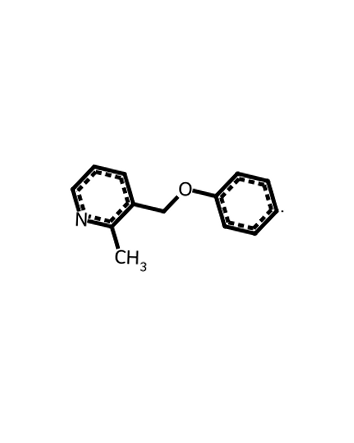 Cc1ncccc1COc1cc[c]cc1